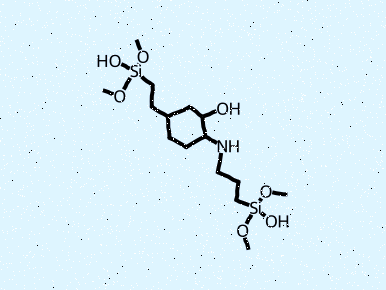 CO[Si](O)(CCCNC1CCC(CC[Si](O)(OC)OC)CC1O)OC